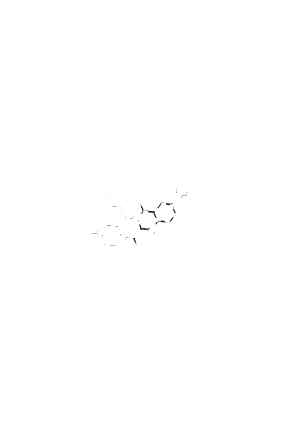 COCCn1c(C(=O)N2CCN(C)CC2)nc2ccc([N+](=O)[O-])cc2c1=O